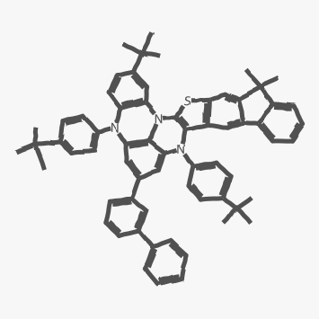 CC(C)(C)c1ccc(N2c3ccc(C(C)(C)C)cc3N3c4sc5cc6c(cc5c4N(c4ccc(C(C)(C)C)cc4)c4cc(-c5cccc(-c7ccccc7)c5)cc2c43)-c2ccccc2C6(C)C)cc1